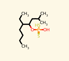 CCCCC(CC)C(CC(C)C)OP(O)(=S)S